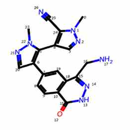 Cn1ncc(-c2c(-c3ccc4c(=O)[nH]nc(CN)c4c3)cnn2C)c1C#N